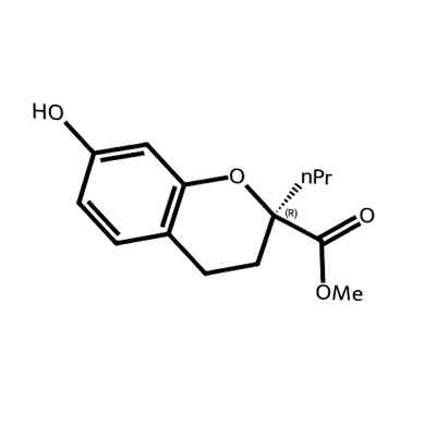 CCC[C@]1(C(=O)OC)CCc2ccc(O)cc2O1